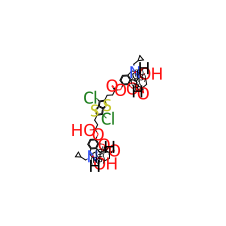 O=C(CCc1sc2c(Cl)c(CCC(O)Oc3ccc4c5c3O[C@H]3C(=O)CC[C@@]6(O)[C@@H](C4)N(CC4CC4)CC[C@]536)sc2c1Cl)Oc1ccc2c3c1O[C@H]1C(=O)CC[C@@]4(O)[C@@H](C2)N(CC2CC2)CC[C@]314